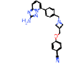 N#Cc1ccc(OCC2CN(Cc3ccc(-c4cccc5nc(N)nn45)cc3)C2)cc1